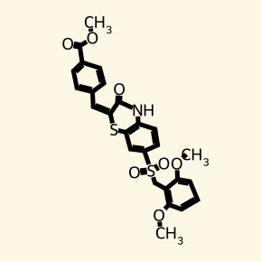 COC(=O)c1ccc(/C=C2/Sc3cc(S(=O)(=O)Cc4c(OC)cccc4OC)ccc3NC2=O)cc1